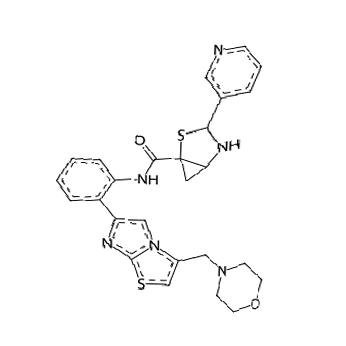 O=C(Nc1ccccc1-c1cn2c(CN3CCOCC3)csc2n1)C12CC1NC(c1cccnc1)S2